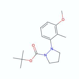 COc1cccc(N2CCCN2C(=O)OC(C)(C)C)c1C